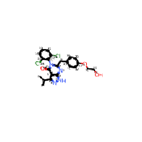 CC(C)c1n[nH]c2nc(Cc3ccc(OCCO)cc3)n(-c3c(Cl)cccc3Cl)c(=O)c12